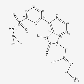 Cn1c(=O)n(C/C(F)=C/CN)c2ncnc(-c3cccc(S(=O)(=O)NC4CC4)c3)c21